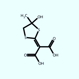 CC1(O)CSC(=C(C(=O)O)C(=O)O)S1